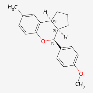 COc1ccc([C@H]2Oc3ccc(C)cc3[C@H]3CCC[C@H]32)cc1